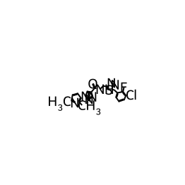 Cc1ccc(-n2cc(C(=O)NCc3nnc(-c4cccc(Cl)c4F)s3)nn2)c(C)n1